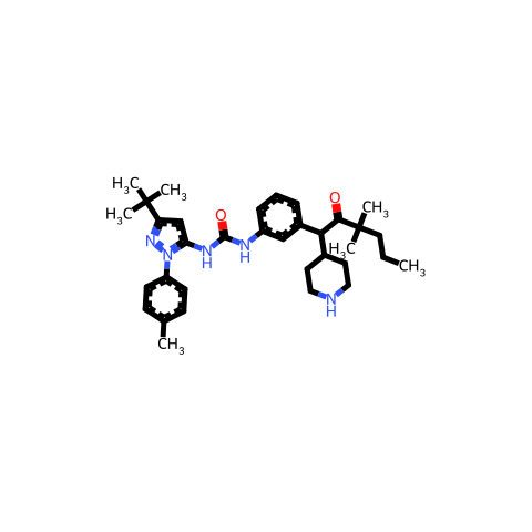 CCCC(C)(C)C(=O)C(c1cccc(NC(=O)Nc2cc(C(C)(C)C)nn2-c2ccc(C)cc2)c1)C1CCNCC1